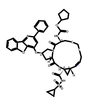 O=C(N[C@H]1CCCCC/C=C\[C@@H]2C[C@@]2(C(=O)NS(=O)(=O)C2CC2)NC(=O)[C@@H]2C[C@@H](Oc3cc(-c4ccccc4)nc4c3oc3ccccc34)CN2C1=O)OC1CCCC1